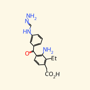 CCc1c(CC(=O)O)ccc(C(=O)c2cccc(NC=NN)c2)c1N